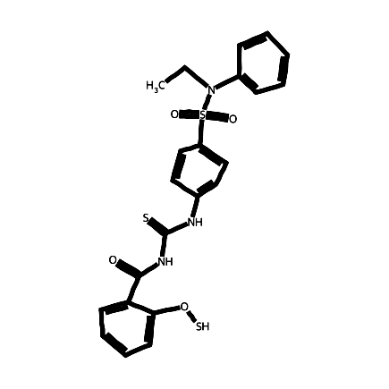 CCN(c1ccccc1)S(=O)(=O)c1ccc(NC(=S)NC(=O)c2ccccc2OS)cc1